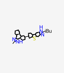 CCC(C)c1nc2cc3sc4cc(-c5ccc6c(c5)c5ccccc5c5nc(C)[nH]c65)ccc4c3cc2[nH]1